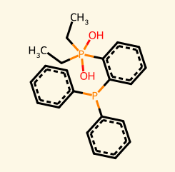 CCP(O)(O)(CC)c1ccccc1P(c1ccccc1)c1ccccc1